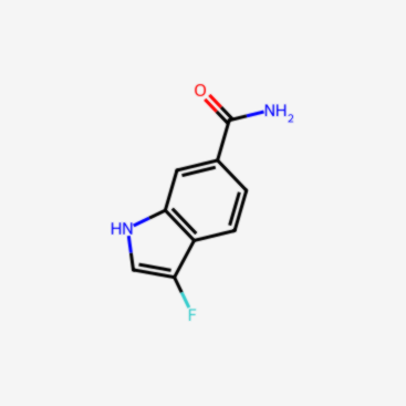 NC(=O)c1ccc2c(F)c[nH]c2c1